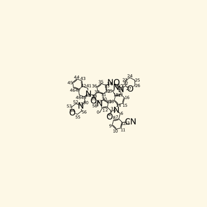 Cc1c(C(=O)N(Cc2ccccc2C#N)c2ccc3c(cnn3C3CCCCO3)c2)cc(-c2cc([N+](=O)[O-])ccc2C(=O)N2Cc3ccccc3C[C@@H]2CN2CCOCC2)n1C